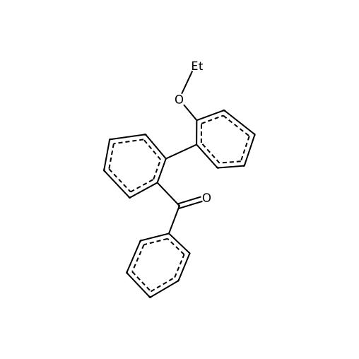 CCOc1ccccc1-c1ccccc1C(=O)c1ccccc1